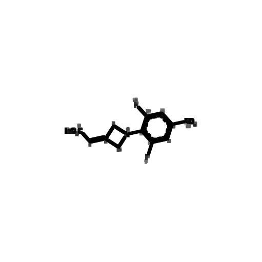 CCOC(=O)C=C1CN(c2c(F)cc([N+](=O)[O-])cc2F)C1